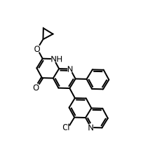 O=c1cc(OC2CC2)[nH]c2nc(-c3ccccc3)c(-c3cc(Cl)c4ncccc4c3)cc12